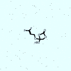 CCCCC1(OCC=C(F)F)COC(=O)O1